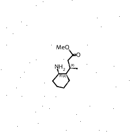 COC(=O)C[C@@H](C)[C@H]1CCCC[C@H]1N